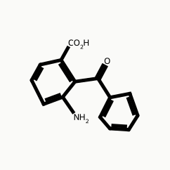 Nc1cccc(C(=O)O)c1C(=O)c1ccccc1